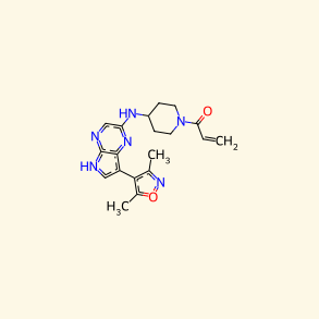 C=CC(=O)N1CCC(Nc2cnc3[nH]cc(-c4c(C)noc4C)c3n2)CC1